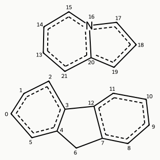 c1ccc2c(c1)Cc1ccccc1-2.c1ccn2cccc2c1